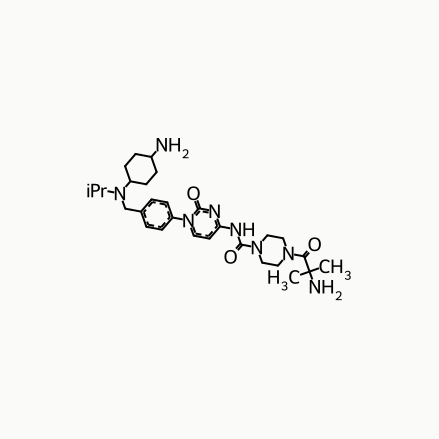 CC(C)N(Cc1ccc(-n2ccc(NC(=O)N3CCN(C(=O)C(C)(C)N)CC3)nc2=O)cc1)C1CCC(N)CC1